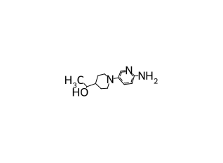 CC(O)C1CCN(c2ccc(N)nc2)CC1